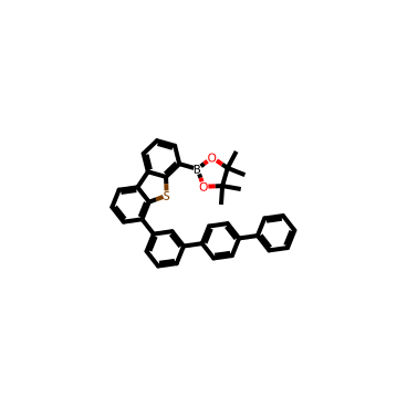 CC1(C)OB(c2cccc3c2sc2c(-c4cccc(-c5ccc(-c6ccccc6)cc5)c4)cccc23)OC1(C)C